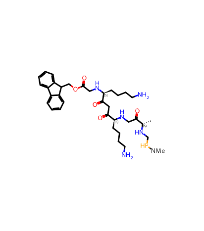 CNPCN[C@@H](C)C(=O)CN[C@@H](CCCCN)C(=O)CC(=O)[C@H](CCCCN)NCC(=O)OCC1c2ccccc2-c2ccccc21